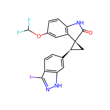 O=C1Nc2ccc(OC(F)F)cc2[C@]12C[C@H]2c1ccc2c(I)n[nH]c2c1